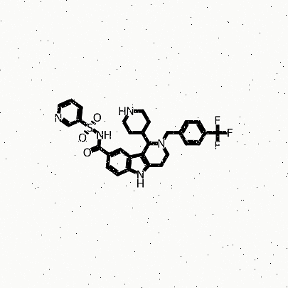 O=C(NS(=O)(=O)c1cccnc1)c1ccc2[nH]c3c(c2c1)C(C1CCNCC1)N(Cc1ccc(C(F)(F)F)cc1)CC3